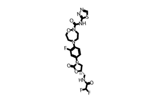 O=C(NC[C@H]1CN(c2ccc(N3CCON(C(=O)Nc4nncs4)CC3)c(F)c2)C(=O)O1)C(F)F